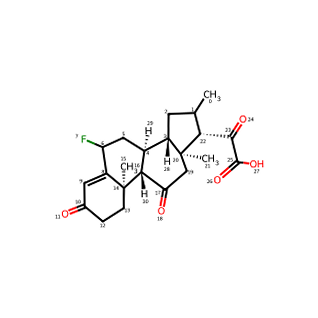 CC1C[C@H]2[C@@H]3CC(F)C4=CC(=O)CC[C@]4(C)[C@H]3C(=O)C[C@]2(C)[C@H]1C(=O)C(=O)O